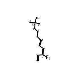 C=C/C(F)=C\C=C\CCCC(C)(C)C